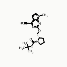 C#Cc1nc(OC[C@@H]2CCCN2C(=O)OC(C)(C)C)nc2c1ccn2C